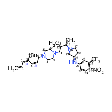 C=C/C=C(\C=C/CN1CCN(CC(C)C(=C)N2CC[C@@H](Nc3ccc([N+](=O)[O-])c(C(F)(F)F)c3)C2)CC1)C(C)(C)C